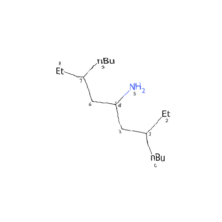 CCCCC(CC)C[C](N)CC(CC)CCCC